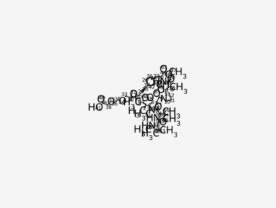 CCC(C)[C@@H]([C@@H](CC(=O)N1CCC[C@H]1[C@H](OC)[C@@H](C)C(=O)NC(Cc1ccc(C#CCOCCOCCOCC(=O)O)cc1)C(=O)OC)OC)N(C)C(=O)[C@@H](NC(=O)[C@@H](NC)C(C)C)C(C)C